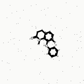 CN1C(=O)CCc2ccc(F)c(Oc3ccccc3)c21